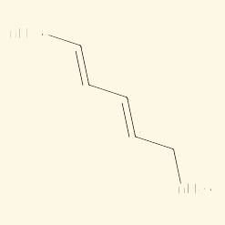 [CH2]CCCCC/C=C/C=C/CCCCCCC